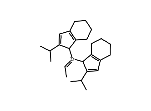 C[CH]=[Zr]([CH]1C(C(C)C)=CC2=C1CCCC2)[CH]1C(C(C)C)=CC2=C1CCCC2